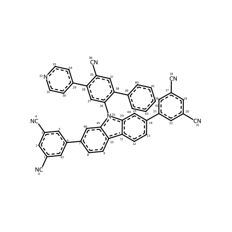 N#Cc1cc(C#N)cc(-c2ccc3c4ccc(-c5cc(C#N)cc(C#N)c5)cc4n(-c4cc(-c5ccncc5)c(C#N)cc4-c4ccccc4)c3c2)c1